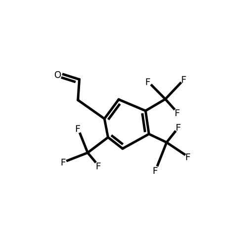 O=CCc1cc(C(F)(F)F)c(C(F)(F)F)cc1C(F)(F)F